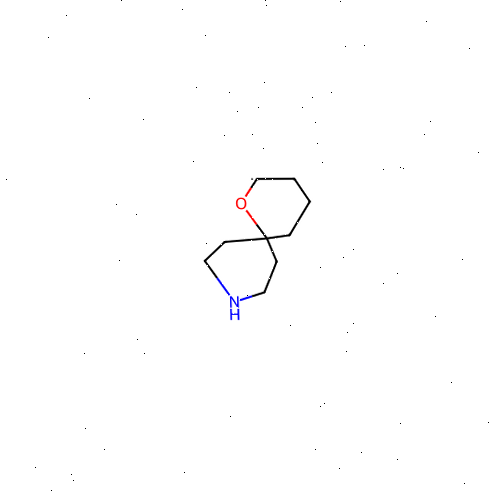 [CH]1CCCC2(CCNCC2)O1